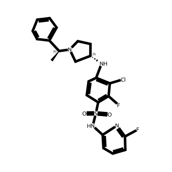 C[C@@H](c1ccccc1)N1CC[C@H](Nc2ccc(S(=O)(=O)Nc3cccc(F)n3)c(F)c2Cl)C1